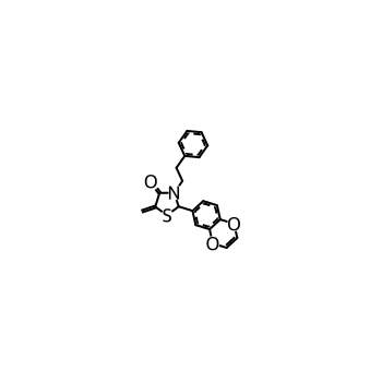 C=C1SC(c2ccc3c(c2)OC=CO3)N(CCc2ccccc2)C1=O